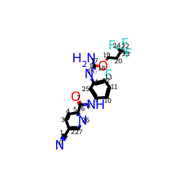 N#Cc1ccc(C(=O)Nc2ccc(F)c(/N=C(/N)OCCC(F)(F)F)c2)nc1